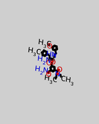 CCCN(CCC)C(=O)c1cc(C(N)=O)cc(C(=O)O[C@H](CNCc2cccc(OC)c2)[C@@H](N)Cc2ccc(C)cc2)c1